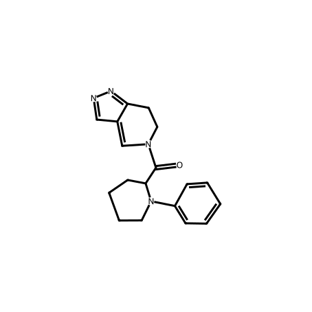 O=C(C1CCCCN1c1ccccc1)N1C=C2C=NN=C2CC1